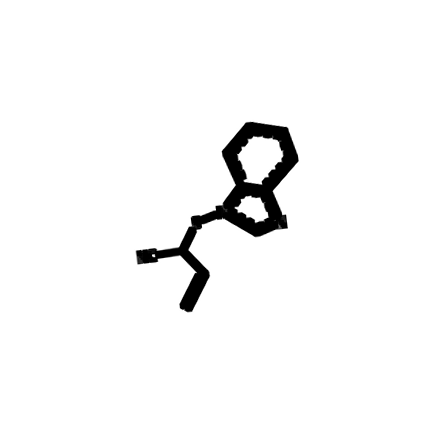 C=CC(C#N)Sn1cnc2ccccc21